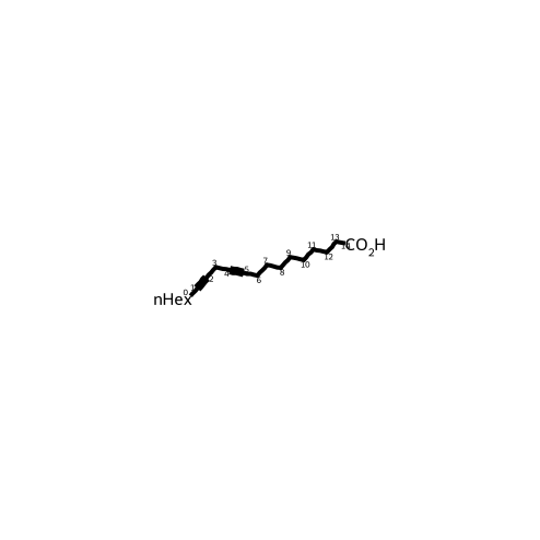 CCCCCCC#CCC#CCCCCCCCCC(=O)O